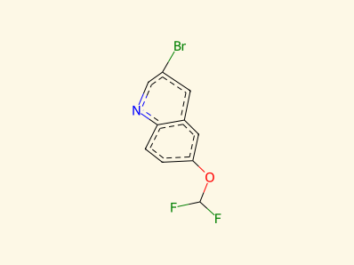 FC(F)Oc1ccc2ncc(Br)cc2c1